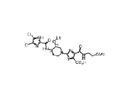 CCO[C@H]1CN(c2nc(C(=O)NCCOC)c(C(=O)O)s2)CC[C@H]1NC(=O)c1nc(Cl)c(CC)[nH]1